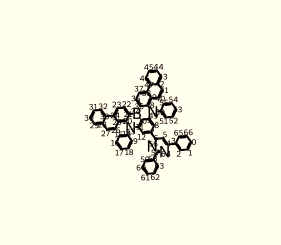 c1ccc(-c2cc(-c3cc4c5c(c3)N(c3ccccc3)c3c(ccc6c3ccc3ccccc36)B5c3ccc5c(ccc6ccccc65)c3N4c3ccccc3)nc(-c3ccccc3)n2)cc1